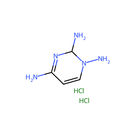 Cl.Cl.NC1=NC(N)N(N)C=C1